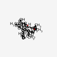 CC(=O)OC[C@H]1O[C@H](CC(=O)O)[C@@H](NS(=O)(=O)c2ccc(CNCCOC34CC5(C)CC(C)(CC(Cn6ncc(-c7ccc(N8CCc9cccc(C(=O)Nc%10nc%11ccccc%11s%10)c9C8)nc7C(=O)OC(C)(C)C)c6C)(C5)C3)C4)cc2)[C@@H](CC(=O)O)[C@H]1CC(=O)O